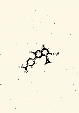 CCCC(=O)N1CCN(c2cc3c(cc2F)c(=O)cc(C(=O)O)n3C2CC2)CC1